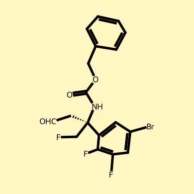 O=CC[C@](CF)(NC(=O)OCc1ccccc1)c1cc(Br)cc(F)c1F